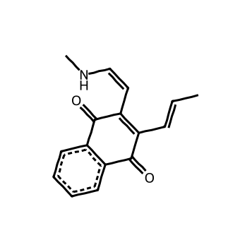 C/C=C/C1=C(/C=C\NC)C(=O)c2ccccc2C1=O